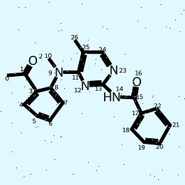 CC(=O)c1ccccc1N(C)c1nc(NC(=O)c2ccccc2)ncc1C